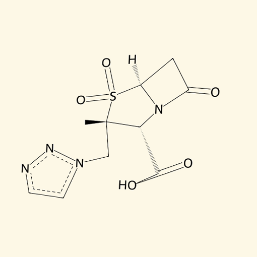 C[C@]1(Cn2ccnn2)[C@@H](C(=O)O)N2C(=O)C[C@@H]2S1(=O)=O